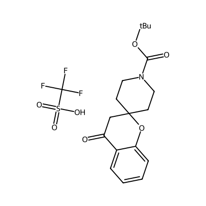 CC(C)(C)OC(=O)N1CCC2(CC1)CC(=O)c1ccccc1O2.O=S(=O)(O)C(F)(F)F